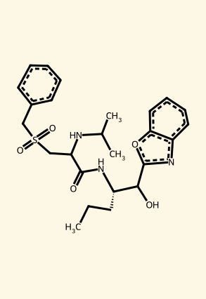 CCC[C@H](NC(=O)C(CS(=O)(=O)Cc1ccccc1)NC(C)C)C(O)c1nc2ccccc2o1